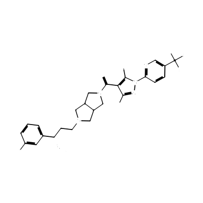 Cc1nn(-c2ccc(C(F)(F)F)cn2)c(C)c1C(=O)N1CC2CN(CC[C@H](N)c3cccc(F)c3)CC2C1